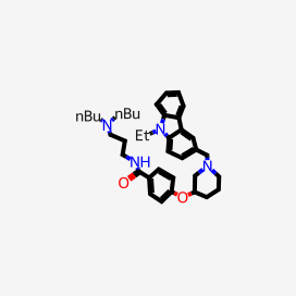 CCCCN(CCCC)CCCNC(=O)c1ccc(OC2CCCN(Cc3ccc4c(c3)c3ccccc3n4CC)C2)cc1